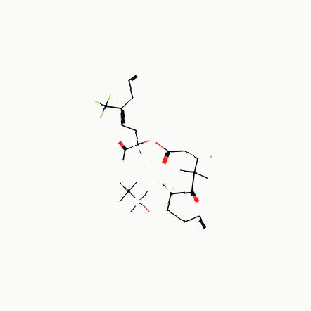 C=CC/C(=C\C[C@](C)(OC(=O)C[C@H](C)C(C)(C)C(=O)[C@H](C)[C@@H](O[Si](C)(C)C(C)(C)C)[C@@H](C)C=C)C(C)=O)C(F)(F)F